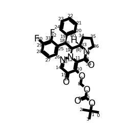 CC(C)(C)OC(=O)OCOc1c2n(ncc1=O)[C@@H]([C@H](c1ccccc1)c1cccc(F)c1F)[C@H]1CCCN1C2=O